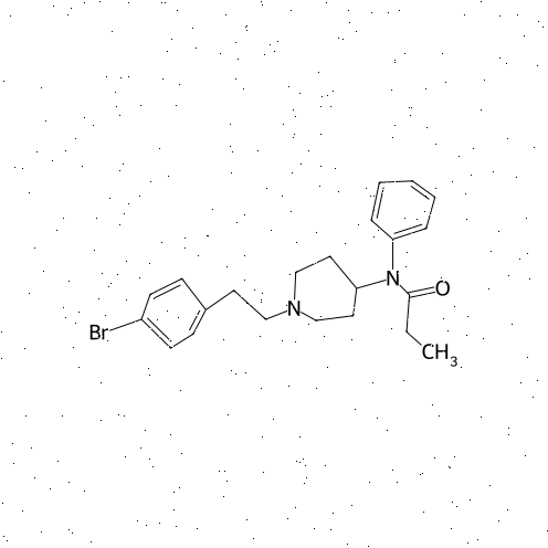 CCC(=O)N(c1ccccc1)C1CCN(CCc2ccc(Br)cc2)CC1